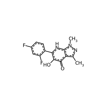 Cc1nn(C)c2[nH]c(-c3ccc(F)cc3F)c(O)c(=O)c12